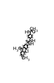 CC(=O)Nc1ccc(NC(=S)Nc2ccc(N(C)C3CCN(C)CC3)c(Cl)c2)cc1